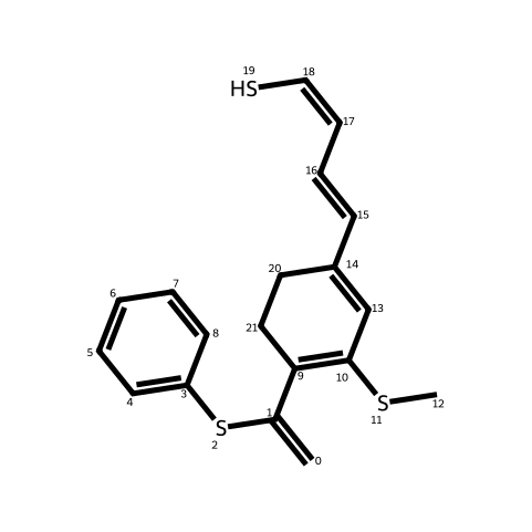 C=C(Sc1ccccc1)C1=C(SC)C=C(/C=C/C=C\S)CC1